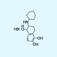 Br.Oc1ccc2c(c1O)CCC(NC1CCCCC1)C2O